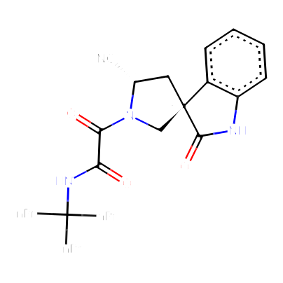 CCCC(CCC)(CCC)NC(=O)C(=O)N1C[C@]2(C[C@H]1C#N)C(=O)Nc1ccccc12